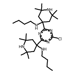 CCCCNC1(c2nc(Cl)nc(C3(NCCCC)CC(C)(C)NC(C)(C)C3)n2)CC(C)(C)NC(C)(C)C1